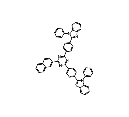 c1ccc(-n2c(-c3ccc(-c4nc(-c5ccc(-c6nc7ccccc7n6-c6ccccc6)cc5)nc(-c5ccc6ccccc6c5)n4)cc3)nc3ccccc32)cc1